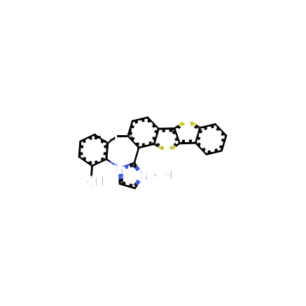 Cc1cccc(C)c1-n1cc[n+](C)c1-c1c(C)ccc2c1sc1c3ccccc3sc21